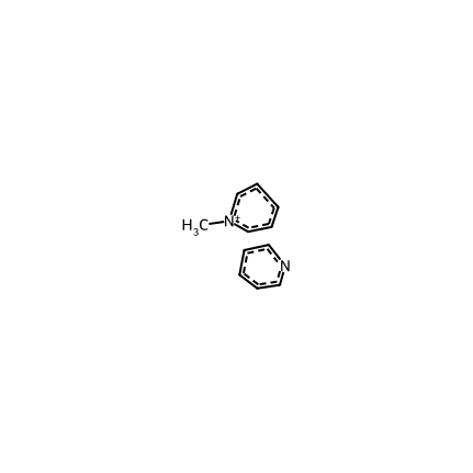 C[n+]1ccccc1.c1ccncc1